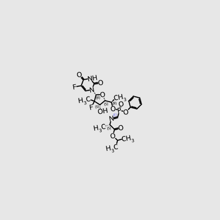 CC(C)OC(=O)[C@H](C)/N=C/P(=O)(Oc1ccccc1)O[C@H](C)[C@H]1O[C@@H](n2cc(F)c(=O)[nH]c2=O)C(C)(F)[C@H]1O